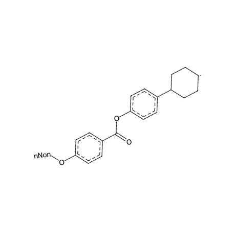 CCCCCCCCCOc1ccc(C(=O)Oc2ccc(C3CC[CH]CC3)cc2)cc1